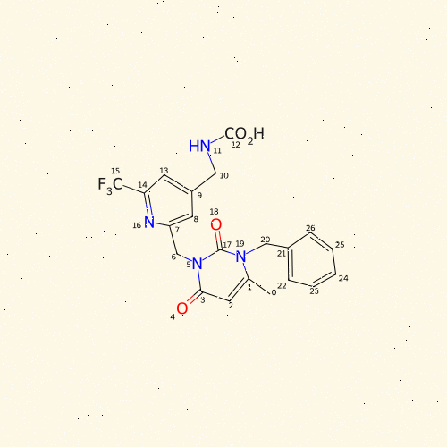 Cc1cc(=O)n(Cc2cc(CNC(=O)O)cc(C(F)(F)F)n2)c(=O)n1Cc1ccccc1